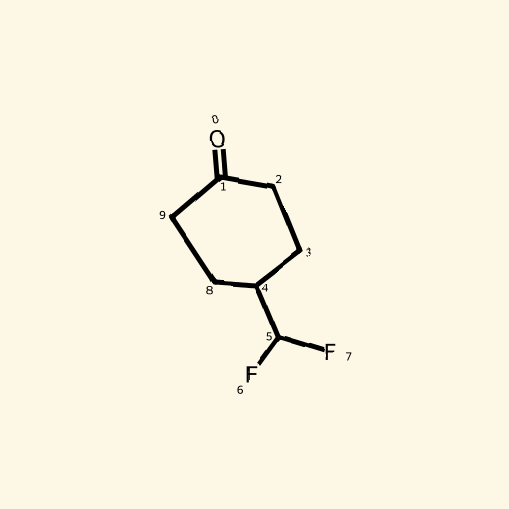 O=C1CCC(C(F)F)CC1